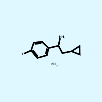 N.NC(CC1CC1)c1ccc(F)cc1